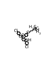 CC(C)NCCCCOc1ccc(C2c3[nH]c4c(c3CCN2C(=O)Oc2ccc(Cl)cc2)C=C(Cl)CC4)cc1